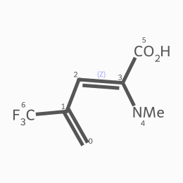 C=C(/C=C(\NC)C(=O)O)C(F)(F)F